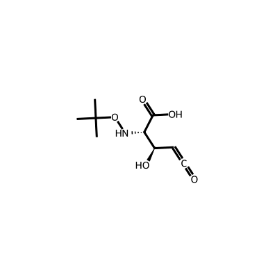 CC(C)(C)ON[C@H](C(=O)O)[C@H](O)C=C=O